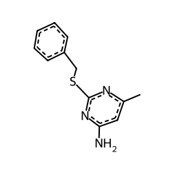 Cc1cc(N)nc(SCc2ccccc2)n1